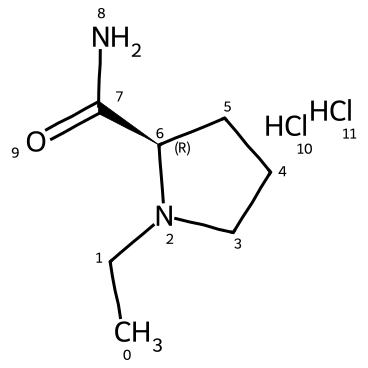 CCN1CCC[C@@H]1C(N)=O.Cl.Cl